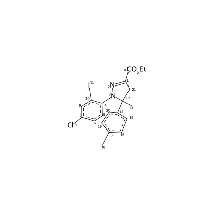 CCOC(=O)C1=NN(c2ccc(Cl)cc2I)C(C)(c2ccc(C)cc2)C1